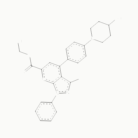 CCOC(=O)c1cc(-c2ccc(N3CCC(O)CC3)cc2)c2c(C)nn(-c3ccccc3)c2n1